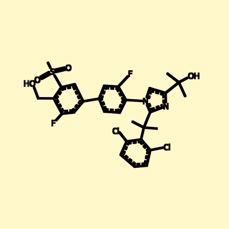 CC(C)(O)c1cn(-c2ccc(-c3cc(F)c(CO)c(S(C)(=O)=O)c3)cc2F)c(C(C)(C)c2c(Cl)cccc2Cl)n1